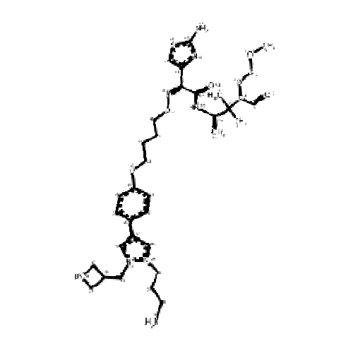 COSON(C=O)C(C)(C)C(C)NC(=O)/C(=N\OCCCCOc1ccc(-c2cn(CCCN)[n+](CC3CNC3)c2)cc1)c1csc(N)n1